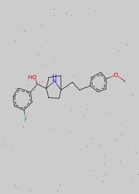 COc1ccc(CCC23CCC(C(O)c4cccc(F)c4)(CC2)N3)cc1